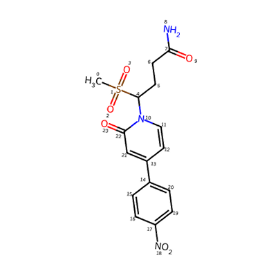 CS(=O)(=O)C(CCC(N)=O)n1ccc(-c2ccc([N+](=O)[O-])cc2)cc1=O